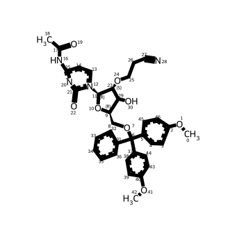 COc1ccc(C(OC[C@H]2O[C@@H](n3ccc(NC(C)=O)nc3=O)[C@@H](OCCC#N)C2O)(c2ccccc2)c2ccc(OC)cc2)cc1